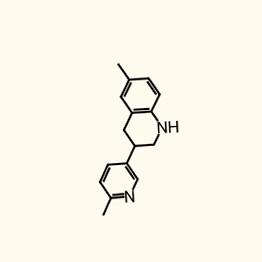 Cc1ccc2c(c1)CC(c1ccc(C)nc1)CN2